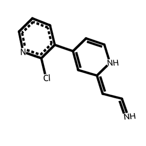 N=C/C=C1/C=C(c2cccnc2Cl)C=CN1